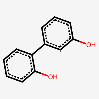 Oc1[c]c(-c2ccccc2O)ccc1